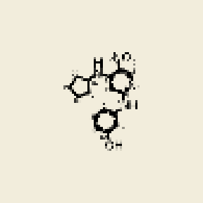 O=[N+]([O-])c1cnc(Nc2cccc(O)c2)cc1NC1CCCC1